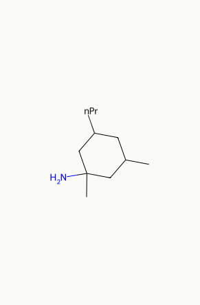 CCCC1CC(C)CC(C)(N)C1